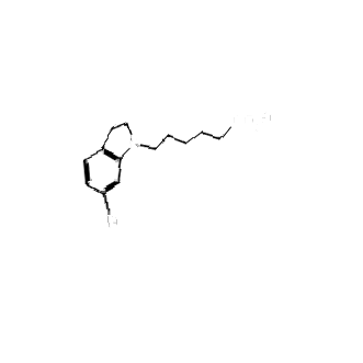 CCOC(=O)CCCCCN1CCc2ccc(Br)cc21